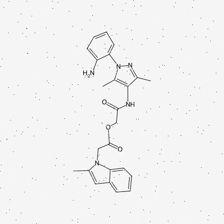 Cc1nn(-c2ccccc2N)c(C)c1NC(=O)COC(=O)Cn1c(C)cc2ccccc21